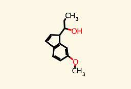 CCC(O)C1C=Cc2ccc(OC)cc21